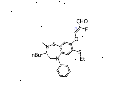 CCCCC1CN(c2ccccc2)c2cc(SCC)c(O/C=C(\F)C=O)cc2SN1C